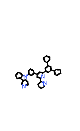 c1ccc(-c2cc(-c3ccccc3)cc(-c3cc(-c4cccc(-n5c6ccccc6c6cnccc65)c4)cc(-c4ccccn4)n3)c2)cc1